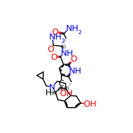 NC(=O)C[C@H](NC(=O)c1cc2c([nH]c1=O)C[C@]13CCN(CC4CC4)[C@H](CC4=CC=C(O)CC41)[C@]3(O)C2)C(N)=O